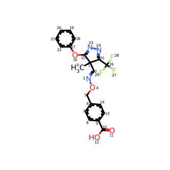 CC1(C=NOCc2ccc(C(=O)O)cc2)C(Oc2ccccc2)=NN=C1C(F)(F)F